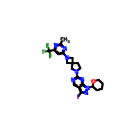 Cc1nc(N2CC3(CCN(c4ncc5c(I)nn(C6CCCCO6)c5n4)C3)C2)cc(C(F)(F)F)n1